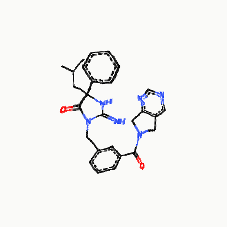 CC(C)CC1(c2ccccc2)NC(=N)N(Cc2cccc(C(=O)N3Cc4cncnc4C3)c2)C1=O